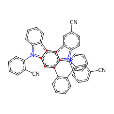 N#Cc1cccc(-n2c3ccc(C#N)cc3c3cccc(-c4ccccc4-c4ccccc4-c4ccc5c(c4)c4ccccc4n5-c4ccccc4C#N)c32)c1